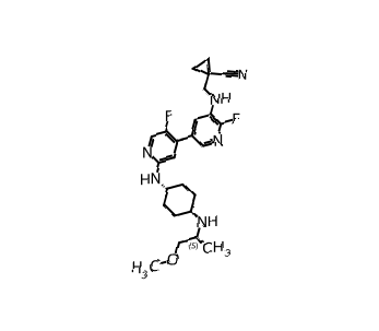 COC[C@H](C)N[C@H]1CC[C@H](Nc2cc(-c3cnc(F)c(NCC4(C#N)CC4)c3)c(F)cn2)CC1